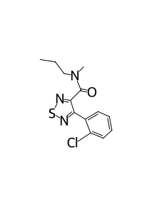 CCCN(C)C(=O)c1nsnc1-c1ccccc1Cl